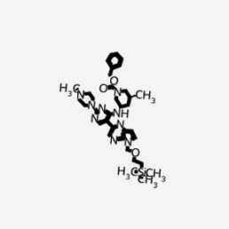 C[C@H]1C[C@H](Nc2nc(N3CCN(C)CC3)ncc2-c2cnc3c(ccn3COCC[Si](C)(C)C)n2)CN(C(=O)OCc2ccccc2)C1